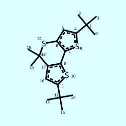 CC(C)(C)c1cc2c(s1)-c1sc(C(C)(C)C)cc1C(C)(C)S2